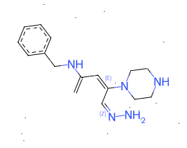 C=C(/C=C(\C=N/N)N1CCNCC1)NCc1ccccc1